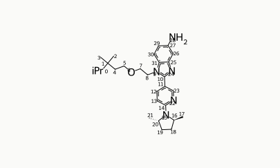 CC(C)C(C)(C)CCOCCn1c(-c2ccc(N3[C@@H](C)CC[C@@H]3C)nc2)nc2cc(N)ccc21